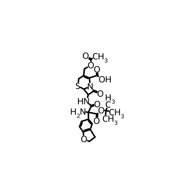 CC(=O)OCC1=C(C(=O)O)N2C(=O)C(NC(=O)C(N)(C(=O)OC(C)(C)C)c3ccc4c(c3)CCO4)C2SC1